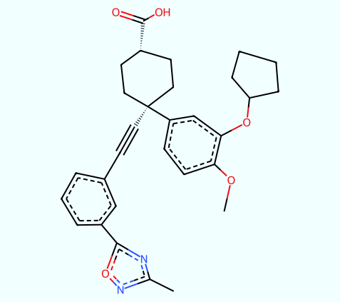 COc1ccc([C@]2(C#Cc3cccc(-c4nc(C)no4)c3)CC[C@@H](C(=O)O)CC2)cc1OC1CCCC1